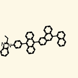 CCc1nc2ccccc2n1-c1ccc(-c2c3ccccc3c(-c3ccc4cc(-c5cccc6ccccc56)c5ccccc5c4c3)c3ccccc23)cc1